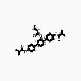 C=C(C)C(=O)Oc1ccc(-c2ccc(-c3ccc(OC(=O)C(=C)C)cc3)c(OC(=O)/C=C/C)c2)cc1